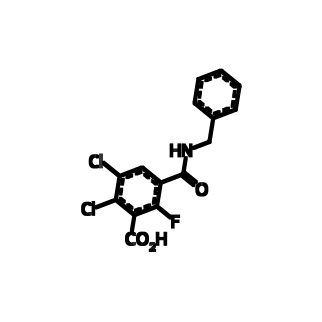 O=C(NCc1ccccc1)c1cc(Cl)c(Cl)c(C(=O)O)c1F